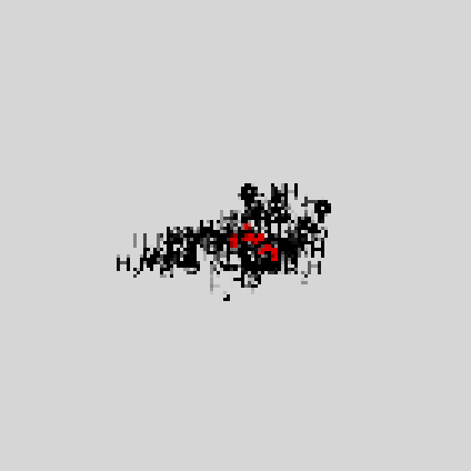 CSCC[C@H](NC(=O)[C@H](CO)NC(=O)[C@H](CO)NC(=O)CNC(=O)[C@H](Cc1ccccc1)NC(=O)CNC(=O)CNC(=O)[C@H](CC(N)=O)NC(=O)[C@H](Cc1ccccc1)NC(=O)CNC(=O)[C@H](CO)NC(=O)CNC(=O)[C@H](CO)NC(=O)CNC(=O)[C@H](C)NC(=O)[C@H](CC(N)=O)NC(=O)[C@@H](N)CO)C(=O)N[C@@H](CC(=O)O)C(=O)N[C@@H](CO)C(=O)N[C@@H](CCCCN)C(=O)N[C@@H](CO)C(=O)N[C@@H](CO)C(=O)NCC(=O)O